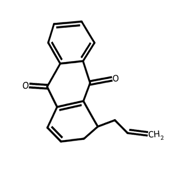 C=CCC1CC=CC2=C1C(=O)c1ccccc1C2=O